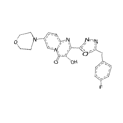 O=c1c(O)c(-c2nnc(Cc3ccc(F)cc3)o2)nc2ccc(N3CCOCC3)cn12